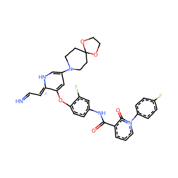 N=C/C=C1\NC=C(N2CCC3(CC2)OCCO3)C=C1Oc1ccc(NC(=O)c2cccn(-c3ccc(F)cc3)c2=O)cc1F